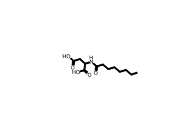 CCCCCCCC(=O)NC(CC(=O)O)C(=O)O